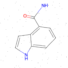 [NH]C(=O)c1cccc2[nH]ccc12